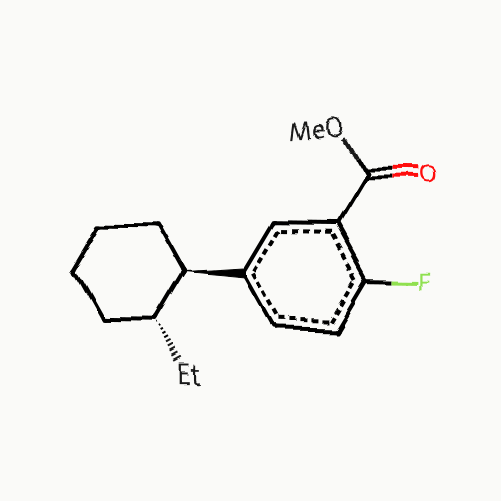 CC[C@@H]1CCCC[C@H]1c1ccc(F)c(C(=O)OC)c1